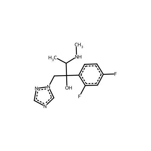 CNC(C)C(O)(Cn1cncn1)c1ccc(F)cc1F